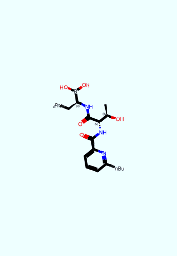 CCCCc1cccc(C(=O)N[C@H](C(=O)N[C@@H](CC(C)C)B(O)O)[C@@H](C)O)n1